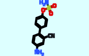 N#Cc1cc(N)ccc1-c1ccc(OS(N)(=O)=O)cc1